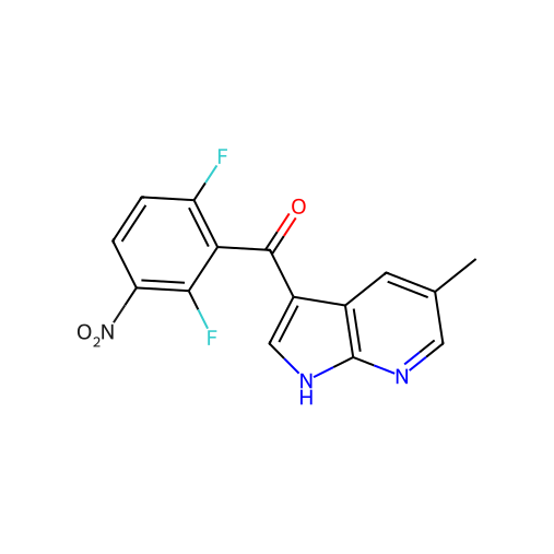 Cc1cnc2[nH]cc(C(=O)c3c(F)ccc([N+](=O)[O-])c3F)c2c1